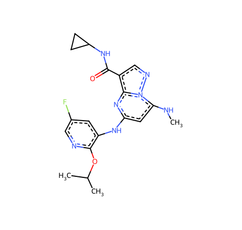 CNc1cc(Nc2cc(F)cnc2OC(C)C)nc2c(C(=O)NC3CC3)cnn12